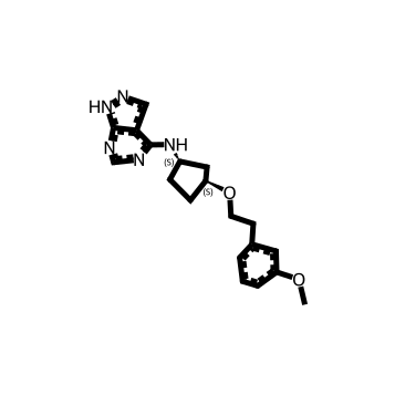 COc1cccc(CCO[C@H]2CC[C@H](Nc3ncnc4[nH]ncc34)C2)c1